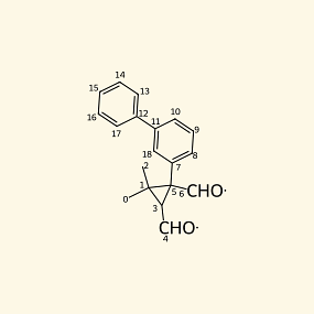 CC1(C)C([C]=O)C1([C]=O)c1cccc(-c2ccccc2)c1